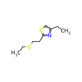 CCSCCc1nc(CC)cs1